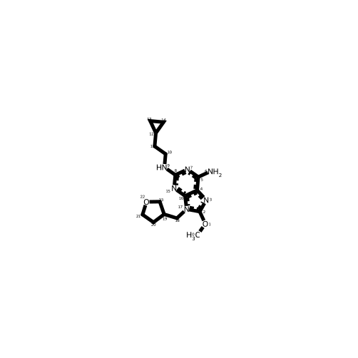 COc1nc2c(N)nc(NCCC3CC3)nc2n1CC1CCOC1